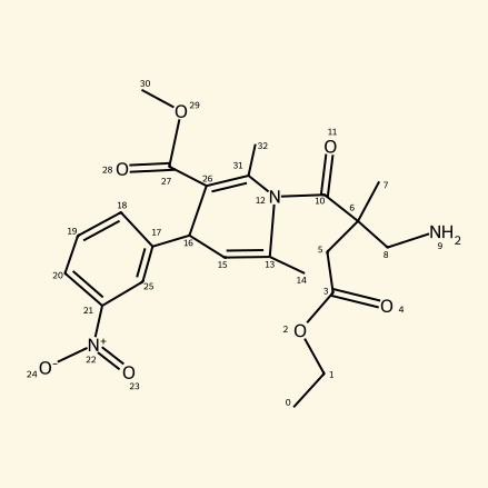 CCOC(=O)CC(C)(CN)C(=O)N1C(C)=CC(c2cccc([N+](=O)[O-])c2)C(C(=O)OC)=C1C